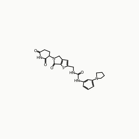 O=C1CCC(N2Cc3cc(CNC(=O)Nc4cccc(N5CCCC5)c4)sc3C2=O)C(=O)N1